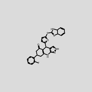 O=C1CC(c2ccccc2F)CC2=C1C(c1ccc(SC3=NC4C=CC=CC4N3)o1)c1c[nH]nc1N2